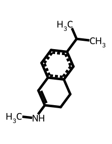 CNC1=Cc2ccc(C(C)C)cc2CC1